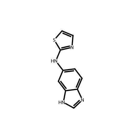 c1csc(Nc2ccc3nc[nH]c3c2)n1